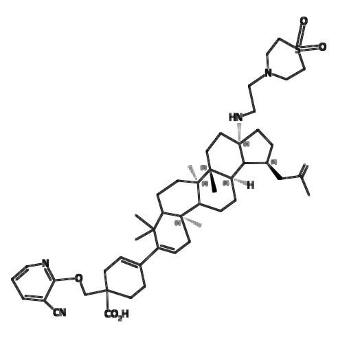 C=C(C)C[C@@H]1CC[C@]2(NCCN3CCS(=O)(=O)CC3)CC[C@]3(C)[C@H](CCC4[C@@]5(C)CC=C(C6=CCC(COc7ncccc7C#N)(C(=O)O)CC6)C(C)(C)C5CC[C@]43C)C12